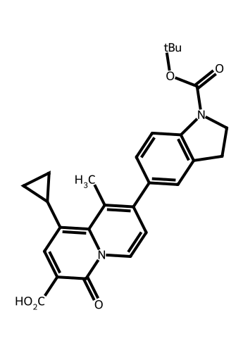 Cc1c(-c2ccc3c(c2)CCN3C(=O)OC(C)(C)C)ccn2c(=O)c(C(=O)O)cc(C3CC3)c12